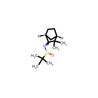 CC1(C)/C(=N\[S+]([O-])C(C)(C)C)[C@@H]2CC[C@H]1C2